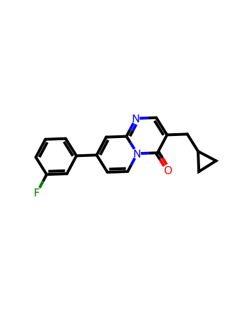 O=c1c(CC2CC2)cnc2cc(-c3cccc(F)c3)ccn12